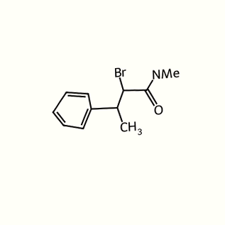 CNC(=O)C(Br)C(C)c1ccccc1